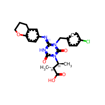 C[C@@H](C(=O)O)[C@H](C)n1c(=O)[nH]/c(=N\c2ccc3c(c2)CCCO3)n(Cc2ccc(Cl)cc2)c1=O